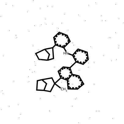 CC1(c2ccc(-c3ccccc3Nc3ccccc3C3CC4CCC3C4)c3ccccc23)CC2CCC(C2)C1